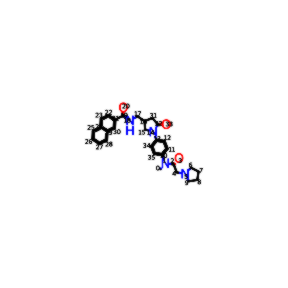 CN(C(=O)CN1CCCC1)c1ccc(N2CC(CNC(=O)c3ccc4ccccc4c3)CC2=O)cc1